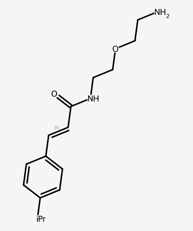 CC(C)c1ccc(/C=C/C(=O)NCCOCCN)cc1